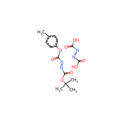 Cc1ccc(OC(=O)N=NC(=O)OC(C)(C)C)cc1.O=C(O)N=NC(=O)O